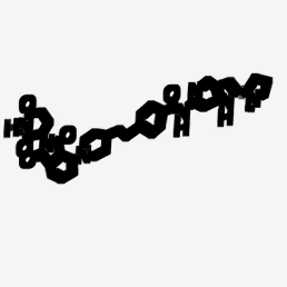 CN1CCC[C@@H]1c1cc2cnc(NC(=O)c3ccc(CCC4CCN(c5cccc6c5C(=O)N(C5CCC(=O)NC5=O)C6=O)CC4)cc3)cc2[nH]1